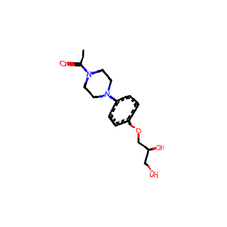 CC(=O)N1CCN(c2ccc(OCC(O)CO)cc2)CC1